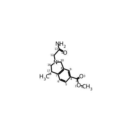 COC(=O)c1ccc2c(c1)CN(CC(N)=O)C[C@H]2C